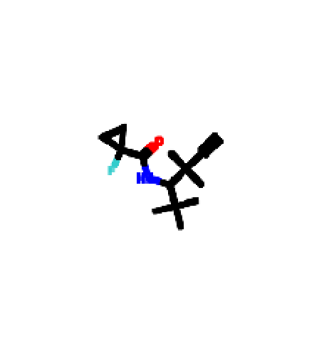 C#CC(C)(C)C(NC(=O)C1(F)CC1)C(C)(C)C